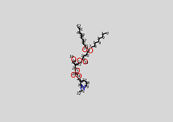 CCCCCCCCOC(CCC(=O)OCC(COC)COC(=O)OCC1CCCN(CC)C1)OCCCCCCCC